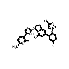 Nc1ccc(-c2cnc([C@@H]3CCc4cc(-c5cc(Cl)ccc5-n5cc(Cl)nn5)cc(=O)n43)[nH]2)c(Cl)n1